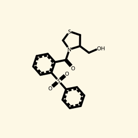 O=C(c1ccccc1S(=O)(=O)c1ccccc1)N1CSCC1CO